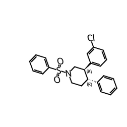 O=S(=O)(c1ccccc1)N1CC[C@@H](c2ccccc2)[C@H](c2cccc(Cl)c2)C1